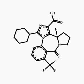 O=C(O)c1nc(C2CCCCC2)n2c1[C@@H]1CCCN1C(=O)c1c-2cccc1C(F)(F)F